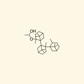 CC(O)OC1(C)CCC2CC1(C13CC(CCC1(C)C14CC(CCC1C)C4(C)C)C3(C)C)C2(C)C